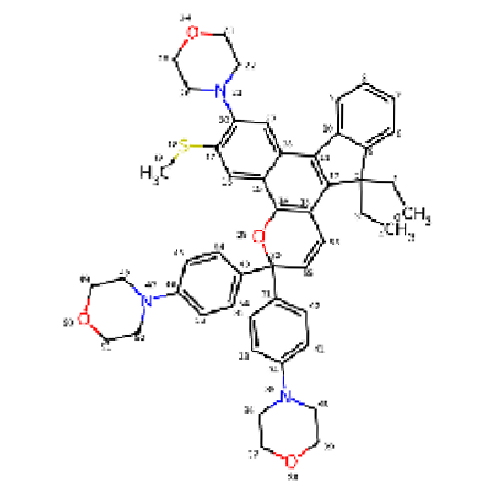 CCC1(CC)c2ccccc2-c2c1c1c(c3cc(SC)c(N4CCOCC4)cc23)OC(c2ccc(N3CCOCC3)cc2)(c2ccc(N3CCOCC3)cc2)C=C1